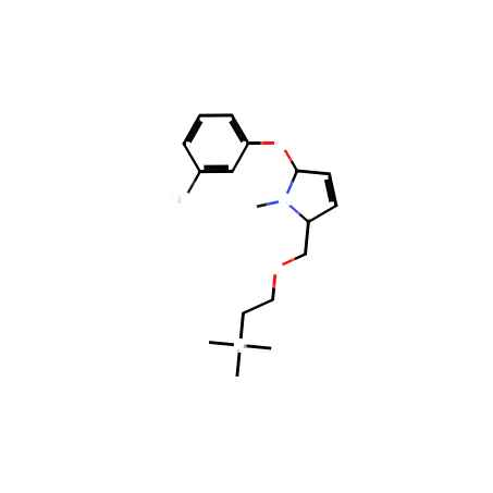 CC(=O)Nc1cccc(OC2C=CC(COCC[Si](C)(C)C)N2C(C)C)c1